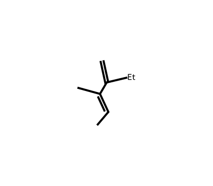 C=C(CC)C(C)=CC